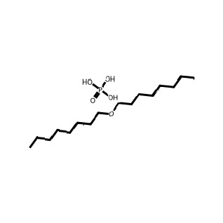 CCCCCCCCOCCCCCCCC.O=P(O)(O)O